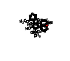 COc1cncc2c1[C@]1(O)[C@H](O)[C@H](S(C)(=O)=O)[C@@H](c3ccccc3)[C@]1(c1ccc(Br)cc1)O2